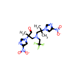 CC(C)(CN(CC(F)(F)F)CC(C)(C=O)n1cnc([N+](=O)[O-])c1)n1cnc([N+](=O)[O-])c1